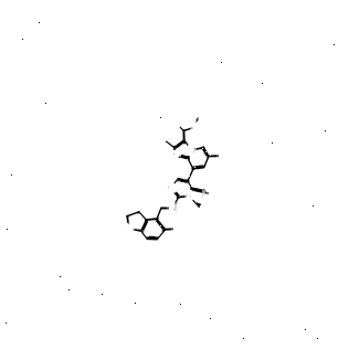 CCOC(O)c1c(C)nc2c(-c3cnc(NCc4c(F)ccc5c4CCO5)n4cnnc34)cc(F)cn12